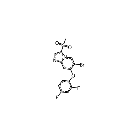 CS(=O)(=O)c1cnc2cc(Oc3ccc(F)cc3F)c(Br)cn12